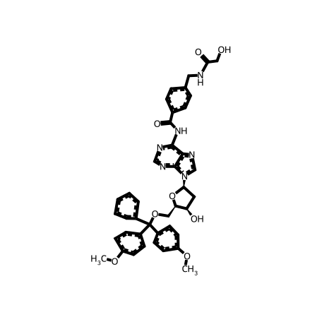 COc1ccc(C(OC[C@H]2O[C@@H](n3cnc4c(NC(=O)c5ccc(CNC(=O)CO)cc5)ncnc43)C[C@H]2O)(c2ccccc2)c2ccc(OC)cc2)cc1